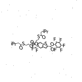 CC(C)CC(=O)SCCOP(=O)(OCCSC(=O)CC(C)C)C(F)(F)c1ccc2sc(C(=O)Oc3c(F)c(F)c(F)c(F)c3F)cc2c1